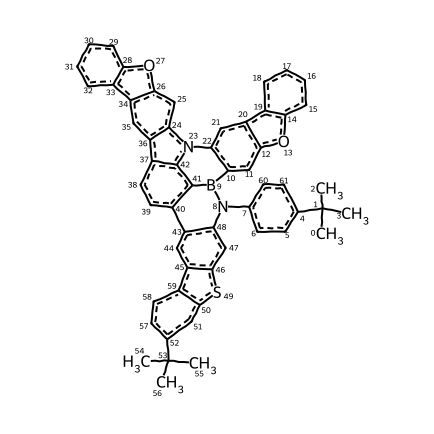 CC(C)(C)c1ccc(N2B3c4cc5oc6ccccc6c5cc4-n4c5cc6oc7ccccc7c6cc5c5ccc(c3c54)-c3cc4c(cc32)sc2cc(C(C)(C)C)ccc24)cc1